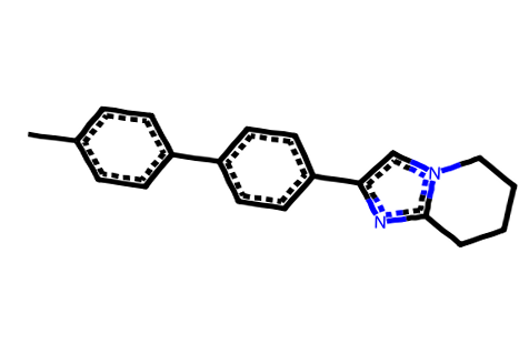 Cc1ccc(-c2ccc(-c3cn4c(n3)CCCC4)cc2)cc1